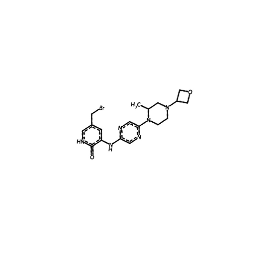 CC1CN(C2COC2)CCN1c1cnc(Nc2cc(CBr)c[nH]c2=O)cn1